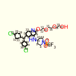 O=S(=O)(N1CCC(Nc2cc(OCCOCCOCCO)nc3ccc(C(c4ccc(Cl)cc4)c4ccc(Cl)cc4)cc23)CC1)C(F)(F)F